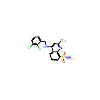 Cc1cc(NCc2cccc(Cl)c2Cl)c2cccc(S(N)(=O)=O)c2n1